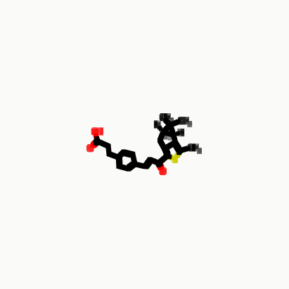 Cc1sc(C(=O)C=Cc2ccc(CCC(=O)O)cc2)c2c1[C@H]1[C@@H](C2)C1(C)C